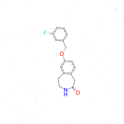 O=C1Cc2ccc(OCc3cccc(F)c3)cc2CCN1